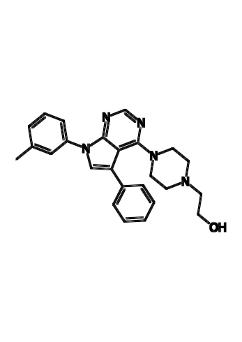 Cc1cccc(-n2cc(-c3ccccc3)c3c(N4CCN(CCO)CC4)ncnc32)c1